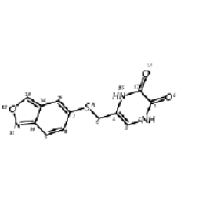 O=c1[nH]cc(CSc2ccc3nocc3c2)[nH]c1=O